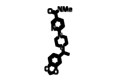 CNC(=O)c1ccc(N2CCN(C(C)c3ccc4c(c3)OCO4)CC2)nc1